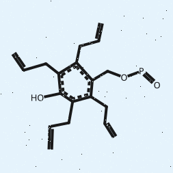 C=CCc1c(O)c(CC=C)c(CC=C)c(COP=O)c1CC=C